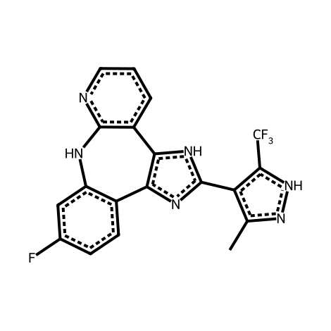 Cc1n[nH]c(C(F)(F)F)c1-c1nc2c([nH]1)-c1cccnc1Nc1cc(F)ccc1-2